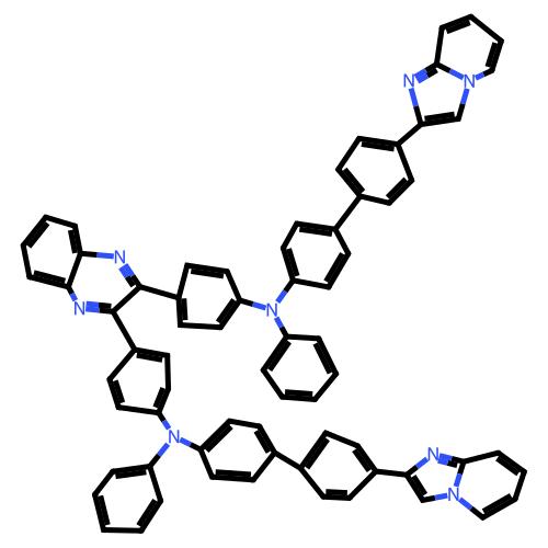 c1ccc(N(c2ccc(-c3ccc(-c4cn5ccccc5n4)cc3)cc2)c2ccc(-c3nc4ccccc4nc3-c3ccc(N(c4ccccc4)c4ccc(-c5ccc(-c6cn7ccccc7n6)cc5)cc4)cc3)cc2)cc1